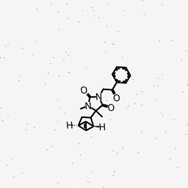 CN1C(=O)N(CC(=O)c2ccccc2)C(=O)C1(C)C1C[C@H]2C3=C2[C@H]31